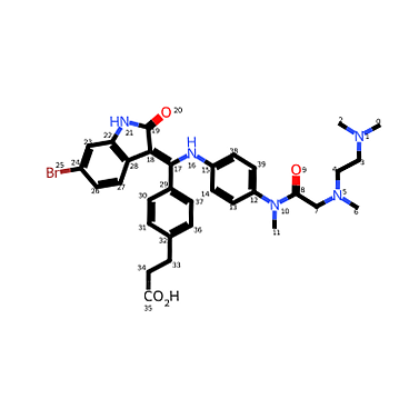 CN(C)CCN(C)CC(=O)N(C)c1ccc(N/C(=C2\C(=O)Nc3cc(Br)ccc32)c2ccc(CCC(=O)O)cc2)cc1